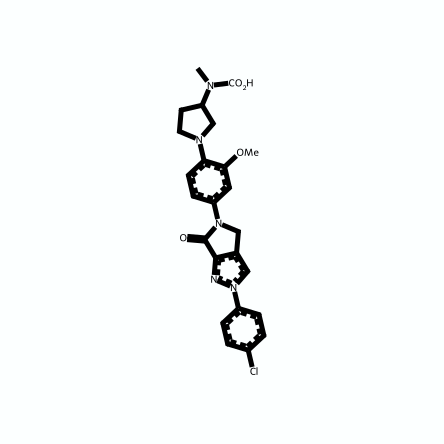 COc1cc(N2Cc3cn(-c4ccc(Cl)cc4)nc3C2=O)ccc1N1CCC(N(C)C(=O)O)C1